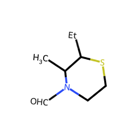 CCC1SCCN(C=O)C1C